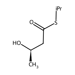 CC(C)SC(=O)C[C@@H](C)O